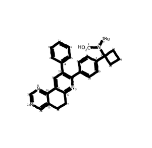 CC(C)(C)N(C(=O)O)C1(c2ccc(-c3nc4c(cc3-c3ccccc3)-c3ncncc3CC4)cc2)CCC1